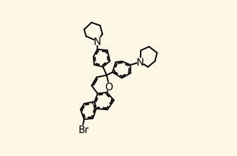 Brc1ccc2c3c(ccc2c1)OC(c1ccc(N2CCCCC2)cc1)(c1ccc(N2CCCCC2)cc1)C=C3